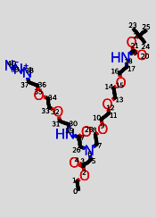 CCOC(=O)CN(CCOCCOCCOCCNC(=O)OC(C)(C)C)CC(=O)NCCOCCOCCN=[N+]=[N-]